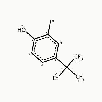 CCC(c1ccc(O)c(C)c1)(C(F)(F)F)C(F)(F)F